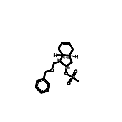 CS(=O)(=O)O[C@@H]1C[C@@H]2CC=CC[C@H]2[C@@H]1COCc1ccccc1